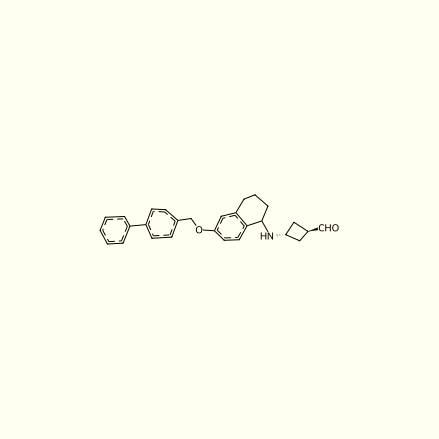 O=C[C@H]1C[C@H](NC2CCCc3cc(OCc4ccc(-c5ccccc5)cc4)ccc32)C1